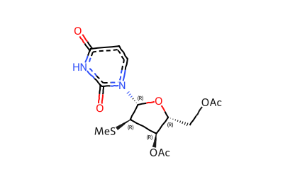 CS[C@@H]1[C@H](OC(C)=O)[C@@H](COC(C)=O)O[C@H]1n1ccc(=O)[nH]c1=O